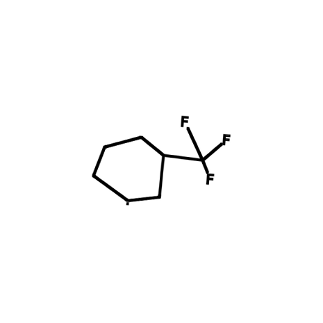 FC(F)(F)C1C[CH]CCC1